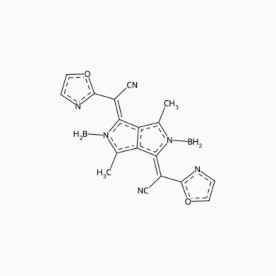 Bn1c(C)c2/c(=C(\C#N)c3ncco3)n(B)c(C)c2/c1=C(\C#N)c1ncco1